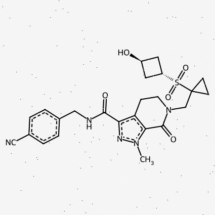 Cn1nc(C(=O)NCc2ccc(C#N)cc2)c2c1C(=O)N(CC1(S(=O)(=O)[C@H]3C[C@H](O)C3)CC1)CC2